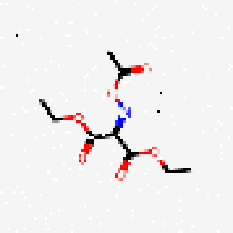 CCOC(=O)C(=NOC(C)=O)C(=O)OCC